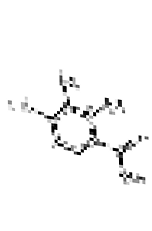 COC(=O)c1ccc(C=O)c([N+](=O)[O-])c1[N+](=O)[O-]